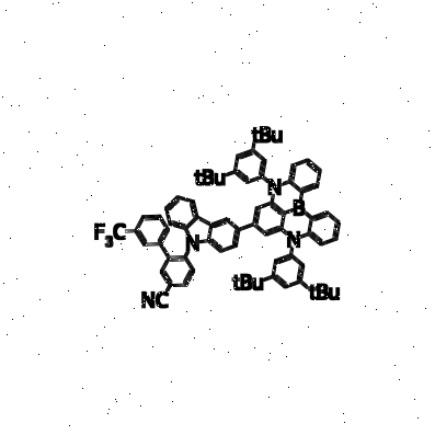 CC(C)(C)c1cc(N2c3ccccc3B3c4ccccc4N(c4cc(C(C)(C)C)cc(C(C)(C)C)c4)c4cc(-c5ccc6c(c5)c5ccccc5n6-c5ccc(C#N)cc5-c5cccc(C(F)(F)F)c5)cc2c43)cc(C(C)(C)C)c1